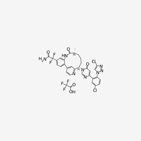 C[C@@H]1CCC[C@H](n2cnc(-c3cc(Cl)ccc3-n3cc(Cl)nn3)cc2=O)c2cc(ccn2)-c2ccc(C(F)(F)C(N)=O)cc2NC1=O.O=C(O)C(F)(F)F